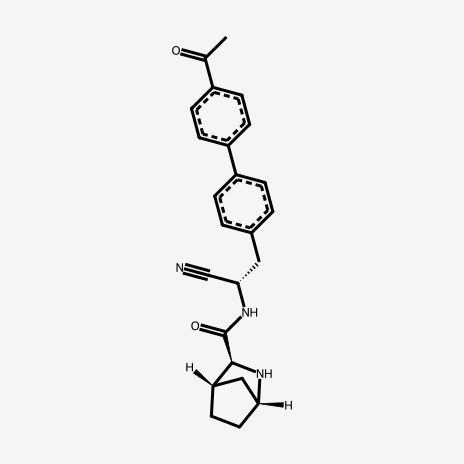 CC(=O)c1ccc(-c2ccc(C[C@@H](C#N)NC(=O)[C@H]3N[C@@H]4CC[C@H]3C4)cc2)cc1